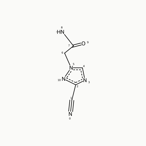 N#Cc1ncn(CC([NH])=O)n1